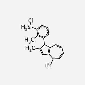 CC1=CC2=C(C=CC=CC2C(C)C)C1c1cccc([SiH2]Cl)c1C